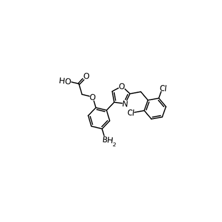 Bc1ccc(OCC(=O)O)c(-c2coc(Cc3c(Cl)cccc3Cl)n2)c1